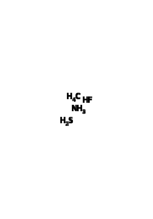 C.F.N.S